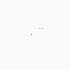 CCC(CC)N(C)C(=O)OC(C)(C)C